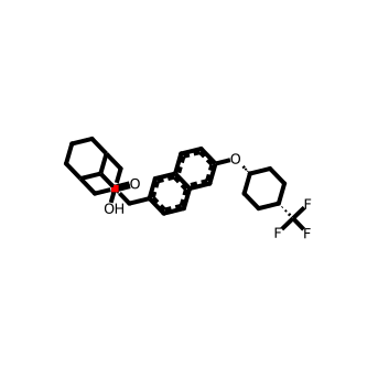 O=C(O)C1C2CCCC1CN(Cc1ccc3cc(O[C@H]4CC[C@@H](C(F)(F)F)CC4)ccc3c1)C2